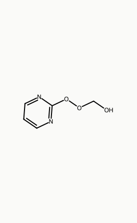 OCOOc1ncccn1